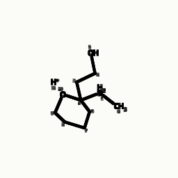 C[SiH2]C1(CCO)CCCCO1.[H+]